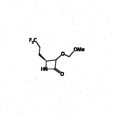 COCOC1C(=O)N[C@H]1CCC(F)(F)F